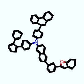 c1ccc(-c2ccccc2-c2ccc(N(c3ccc(-c4cc5ccccc5c5ccccc45)cc3)c3ccc4cc(-c5cccc(-c6cc7ccccc7o6)c5)ccc4c3)cc2)cc1